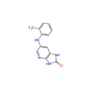 O=c1[nH]c2cc(Nc3ccccc3C(F)(F)F)cnc2[nH]1